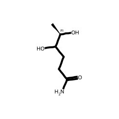 C[C@@H](O)C(O)CCC(N)=O